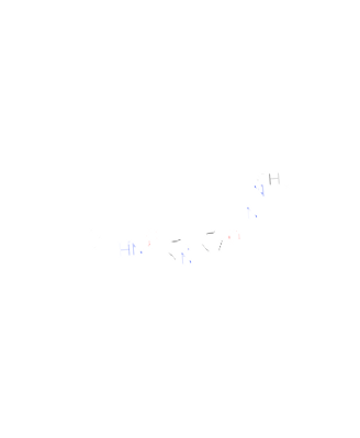 CN1CCN(CCOc2ccc(-c3ccc(CC(=O)NCCCC4CCCC4)cn3)c(F)c2)CC1